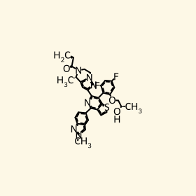 C=CC(=O)N1CCn2nc(-c3nc(-c4ccc5nn(C)cc5c4)c4ccsc4c3-c3c(F)cc(F)cc3OC[C@@H](C)O)cc2[C@@H]1C